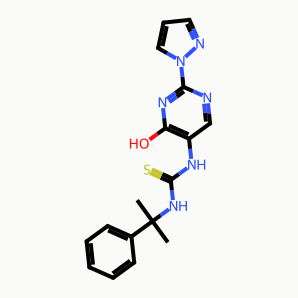 CC(C)(NC(=S)Nc1cnc(-n2cccn2)nc1O)c1ccccc1